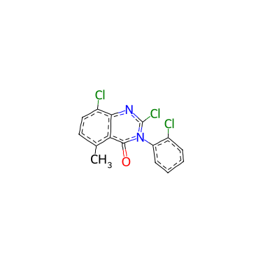 Cc1ccc(Cl)c2nc(Cl)n(-c3ccccc3Cl)c(=O)c12